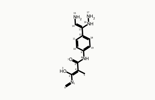 C=N/C(O)=C(\C)C(=O)Nc1ccc(/C(=C/N)NN)cc1